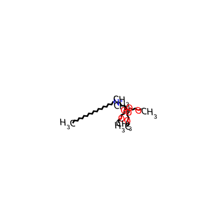 CCCCCCCCCCCCCCCCCC[N+](C)(C)CCC[Si](OCCOCC)(OCCOCC)OCCOCC